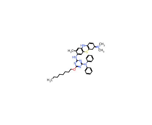 CCCCCCCCOc1nc(Nc2cc3c(cc2C)NC2=C(CC(=[N+](C)C)C=C2)S3)nc(N(c2ccccc2)c2ccccc2)n1